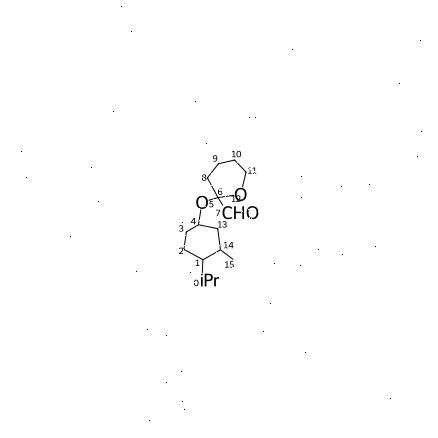 CC(C)C1CCC(OC2(C=O)CCCCO2)CC1C